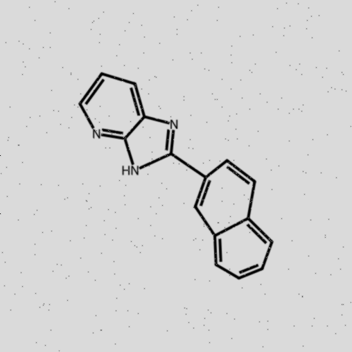 c1ccc2cc(-c3nc4cccnc4[nH]3)ccc2c1